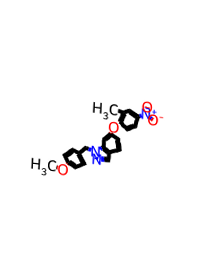 COc1ccc(Cn2ncc3ccc(Oc4ccc([N+](=O)[O-])cc4C)cc32)cc1